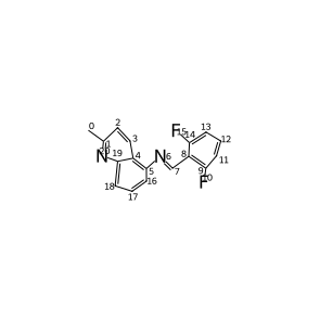 Cc1ccc2c(N=Cc3c(F)cccc3F)cccc2n1